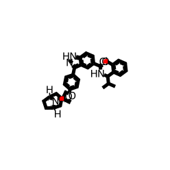 CC(C)C(NC(=O)c1ccc2[nH]nc(-c3ccc(O[C@H]4C[C@H]5CC[C@@H](C4)N5C4COC4)cc3)c2c1)c1ccccc1Cl